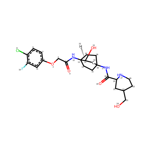 O=C(COc1ccc(Cl)c(F)c1)NC12CCC(NC(=O)C3CC(CO)CCN3)(CC1)C[C@@H]2O